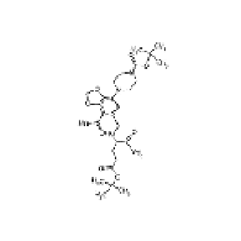 CC(C)(C)OC(=O)CCC(NCc1cc(N2CCN(C(=O)OC(C)(C)C)CC2)c2c(c1C(=O)O)OCO2)C(N)=O